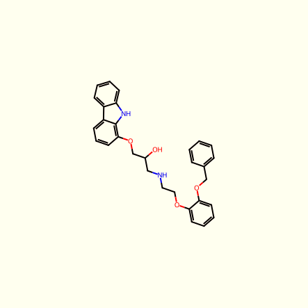 OC(CNCCOc1ccccc1OCc1ccccc1)COc1cccc2c1[nH]c1ccccc12